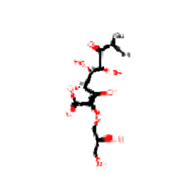 CCCCC(CC)C(=O)C(O)[C@H](O)[C@H]1OC(=O)C(OCC(O)CO)=C1O